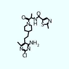 Cc1ncc(C(=O)NC(C)C(=O)N2CCC(CCc3c(C)nc(Cl)nc3N)CC2)s1